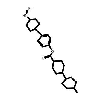 CCCNC1CCC(c2ccc(OC(=O)C3CCC(C4CCC(C)CC4)CC3)cc2)CC1